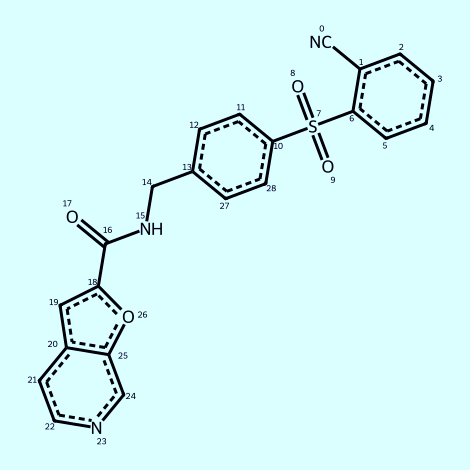 N#Cc1ccccc1S(=O)(=O)c1ccc(CNC(=O)c2cc3ccncc3o2)cc1